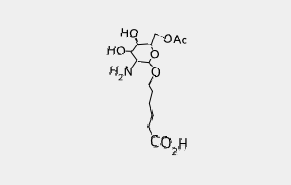 CC(=O)OCC1O[C@@H](OCCCCCC(=O)O)C(N)C(O)[C@H]1O